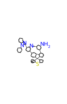 N#Cc1cc(N)cc(-c2cccc3c2-c2cc(-c4ccc(-c5nc6ccccc6n5-c5ccccc5)cc4)ccc2C32c3ccccc3Sc3ccccc32)c1